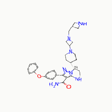 NC(=O)c1c(-c2ccc(Oc3ccccc3)cc2)nn2c1NCC[C@H]2C1CCN(C2CN(CC3CNC3)C2)CC1